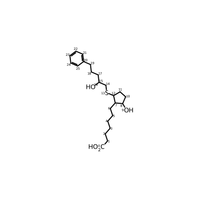 O=C(O)CCCCCCC1C(O)CCC1SCC(O)CCCc1ccccc1